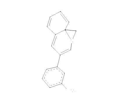 COc1cccc(C2=CN3CC34C=CC=CC4=C2)c1